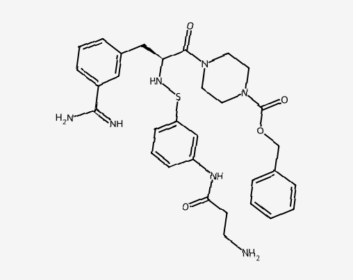 N=C(N)c1cccc(C[C@H](NSc2cccc(NC(=O)CCN)c2)C(=O)N2CCN(C(=O)OCc3ccccc3)CC2)c1